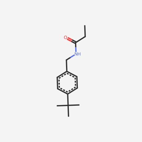 CCC(=O)NCc1ccc(C(C)(C)C)cc1